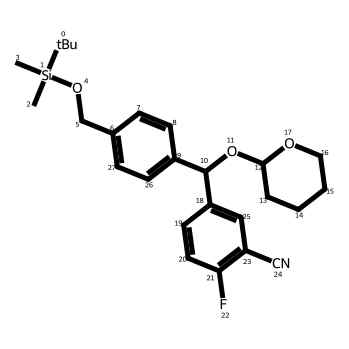 CC(C)(C)[Si](C)(C)OCc1ccc(C(OC2CCCCO2)c2ccc(F)c(C#N)c2)cc1